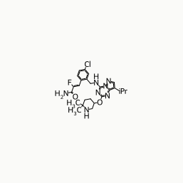 CC(C)c1cnn2c(NCc3cc(Cl)ccc3C=C(F)C(N)=O)nc(OC3CCC(C)(C)NC3)nc12